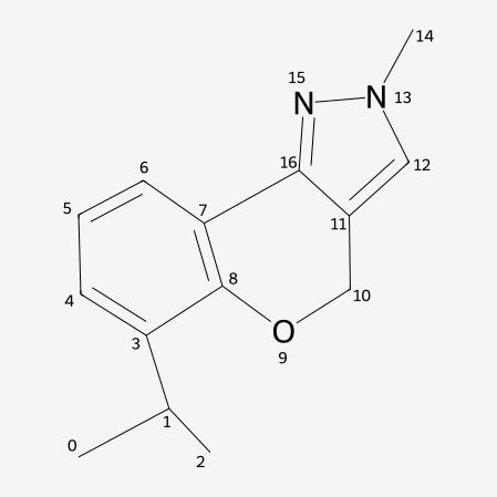 CC(C)c1cccc2c1OCc1cn(C)nc1-2